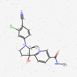 CNC(=O)c1ccc([C@]2(O)CCN(c3ccc(C#N)c(Cl)c3)[C@H]2C)nc1